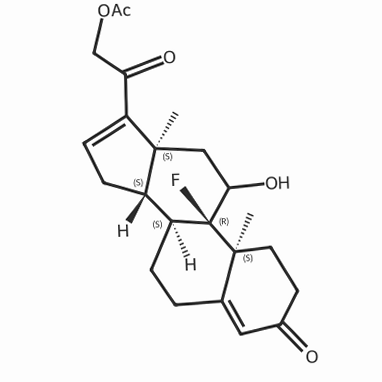 CC(=O)OCC(=O)C1=CC[C@H]2[C@@H]3CCC4=CC(=O)CC[C@]4(C)[C@@]3(F)C(O)C[C@]12C